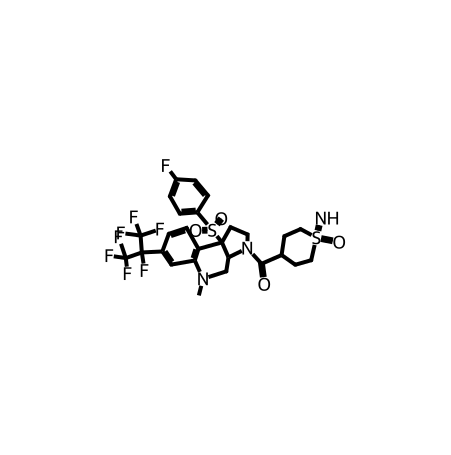 CN1CC2N(C(=O)C3CCS(=N)(=O)CC3)CCC2(S(=O)(=O)c2ccc(F)cc2)c2ccc(C(F)(C(F)(F)F)C(F)(F)F)cc21